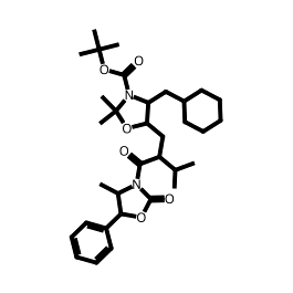 CC(C)C(CC1OC(C)(C)N(C(=O)OC(C)(C)C)C1CC1CCCCC1)C(=O)N1C(=O)OC(c2ccccc2)C1C